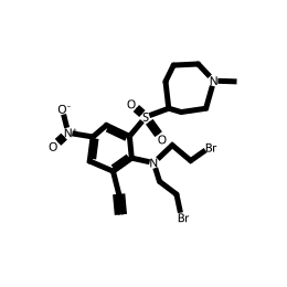 C#Cc1cc([N+](=O)[O-])cc(S(=O)(=O)C2CCCN(C)CC2)c1N(CCBr)CCBr